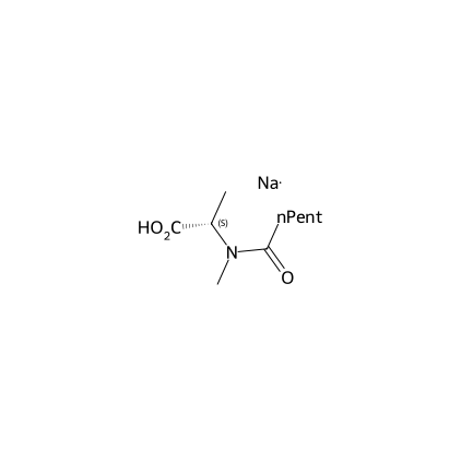 CCCCCC(=O)N(C)[C@@H](C)C(=O)O.[Na]